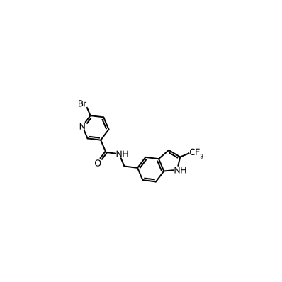 O=C(NCc1ccc2[nH]c(C(F)(F)F)cc2c1)c1ccc(Br)nc1